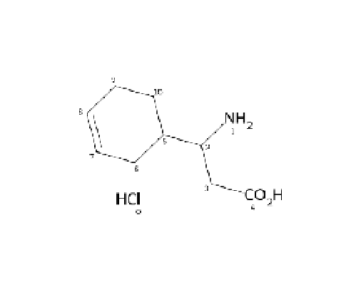 Cl.NC(CC(=O)O)C1CC=CCC1